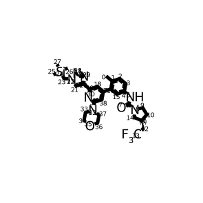 Cc1ccc(NC(=O)N2CC[C@@H](CC(F)(F)F)C2)cc1-c1cc(-c2cn(C[Si](C)(C)C)nn2)nc(N2CCOCC2)c1